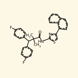 CC(C)(C(=O)Nc1nc(-c2cccc3ccccc23)cs1)C(c1ccc(F)cc1)c1ccc(F)cc1